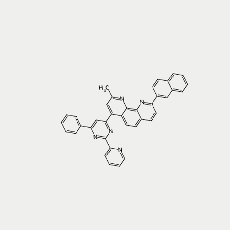 Cc1cc(-c2cc(-c3ccccc3)nc(-c3ccccn3)n2)c2ccc3ccc(-c4ccc5ccccc5c4)nc3c2n1